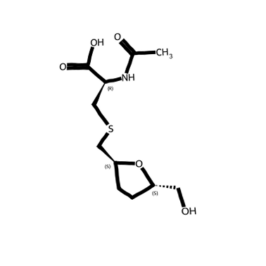 CC(=O)N[C@@H](CSC[C@@H]1CC[C@@H](CO)O1)C(=O)O